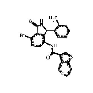 Cc1ccccc1C1NC(=O)c2c(Br)ccc(NC(=O)c3csc4ccccc34)c21